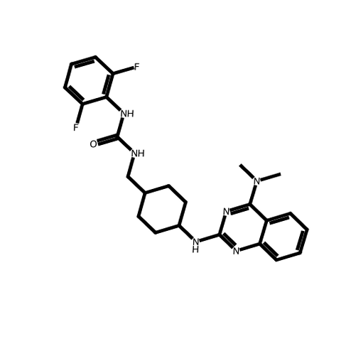 CN(C)c1nc(NC2CCC(CNC(=O)Nc3c(F)cccc3F)CC2)nc2ccccc12